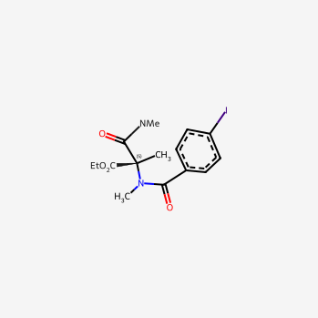 CCOC(=O)[C@](C)(C(=O)NC)N(C)C(=O)c1ccc(I)cc1